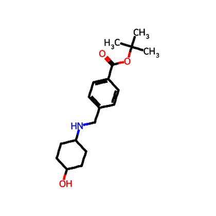 CC(C)(C)OC(=O)c1ccc(CNC2CCC(O)CC2)cc1